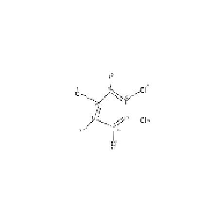 [CH2]c1c(Cl)c(C)c(Cl)c(Cl)c1Cl